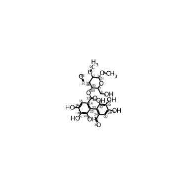 COC1[C@@H](OC)OC(CO)[C@@H](OC(=O)c2cc(O)c(O)c(O)c2-c2c(C=O)cc(O)c(O)c2O)[C@@H]1C=O